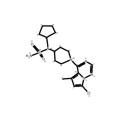 Cc1cc(Cl)n2ncnc(N3CCC(N(C4CCCC4)S(N)(=O)=O)CC3)c12